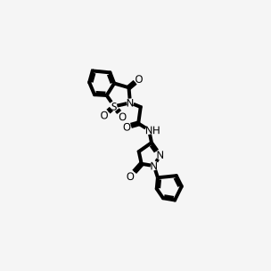 O=C(CN1C(=O)c2ccccc2S1(=O)=O)NC1=NN(c2ccccc2)C(=O)C1